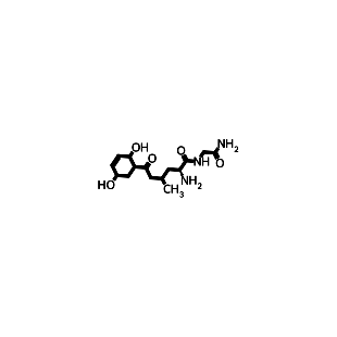 CC(CC(=O)C1CC(O)C=CC1O)C[C@H](N)C(=O)NCC(N)=O